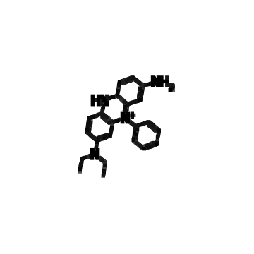 CCN(CC)c1ccc2c(c1)[N+](c1ccccc1)=C1C=C(N)C=CC1N2